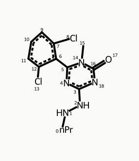 CCCNNc1nc(-c2c(Cl)cccc2Cl)n(C)c(=O)n1